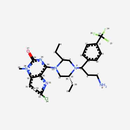 CCC1CN(C(CCN)c2ccc(C(F)(F)F)cc2)[C@H](CC)CN1c1nc(=O)n(C)c2ccc(Cl)nc12